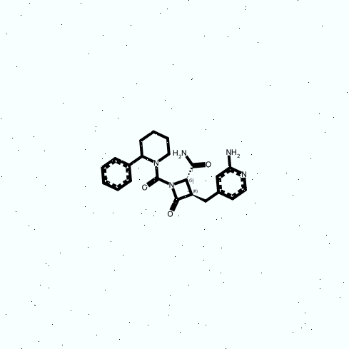 NC(=O)[C@@H]1[C@@H](Cc2ccnc(N)c2)C(=O)N1C(=O)N1CCCCC1c1ccccc1